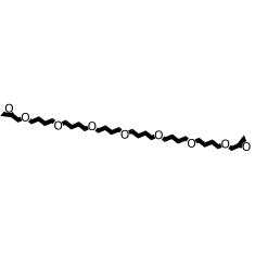 C(CCOCCCCOCCCCOCC1CO1)COCCCCOCCCCOCCCCOCC1CO1